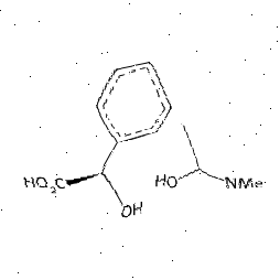 CNC(C)O.O=C(O)[C@H](O)c1ccccc1